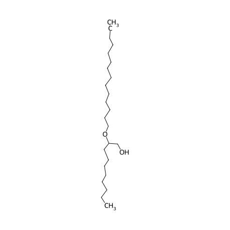 CCCCCCCCCCCCCCOC(CO)CCCCCCCC